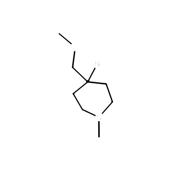 COCC1(N)CCN(C)CC1